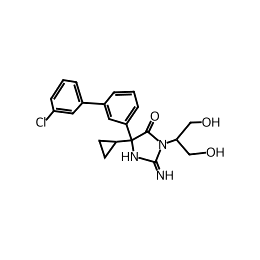 N=C1NC(c2cccc(-c3cccc(Cl)c3)c2)(C2CC2)C(=O)N1C(CO)CO